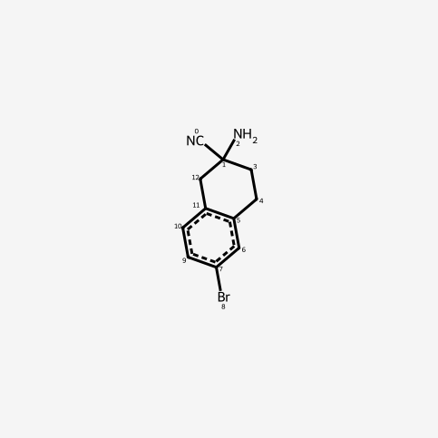 N#CC1(N)CCc2cc(Br)ccc2C1